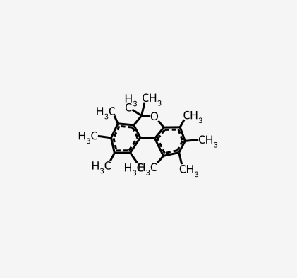 Cc1c(C)c(C)c2c(c1C)OC(C)(C)c1c(C)c(C)c(C)c(C)c1-2